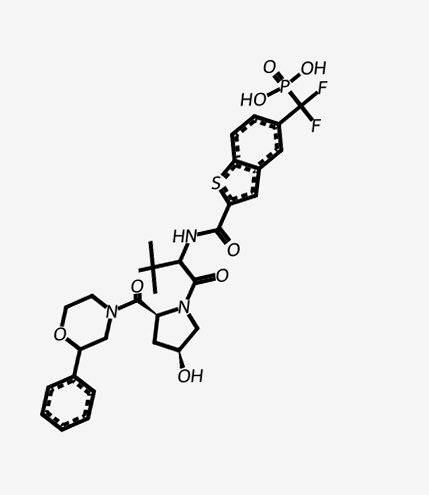 CC(C)(C)C(NC(=O)c1cc2cc(C(F)(F)P(=O)(O)O)ccc2s1)C(=O)N1C[C@@H](O)C[C@H]1C(=O)N1CCOC(c2ccccc2)C1